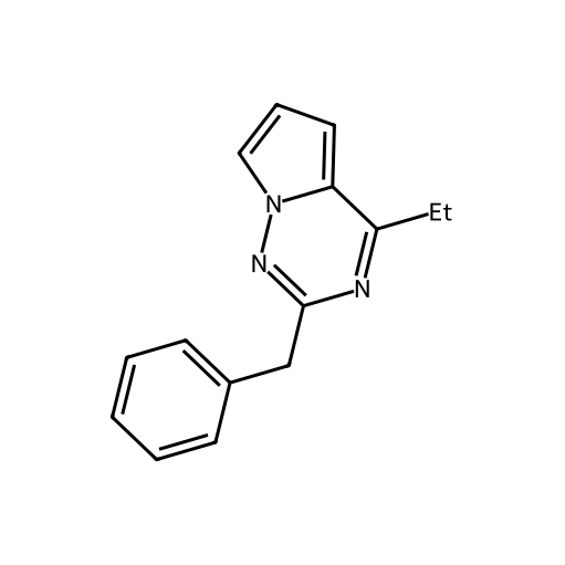 CCc1nc(Cc2ccccc2)nn2cccc12